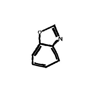 [c]1ccc2ocnc2c1